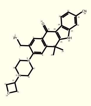 CC(C)Cc1cc2c(cc1N1CCN(C3COC3)CC1)C(C)(C)c1[nH]c3cc(C#N)ccc3c1C2=O